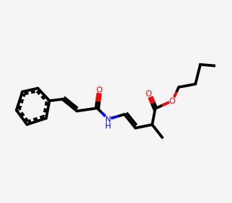 CCCCOC(=O)C(C)C=CNC(=O)C=Cc1ccccc1